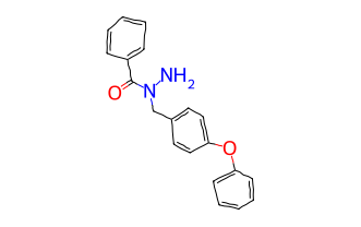 NN(Cc1ccc(Oc2ccccc2)cc1)C(=O)c1ccccc1